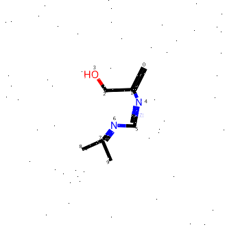 C=C(CO)/N=C\N=C(C)C